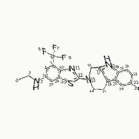 CCNc1cc(C(F)(F)F)c2nc(N3CCc4c([nH]c5ccc(Cl)cc45)C3)sc2c1